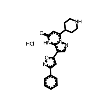 Cl.O=c1cc(C2CCNCC2)n2ncc(-c3cc(-c4ccccc4)no3)c2[nH]1